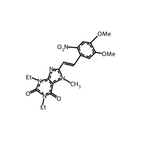 CCn1c(=O)c2c(nc(/C=C/c3cc(OC)c(OC)cc3[N+](=O)[O-])n2C)n(CC)c1=O